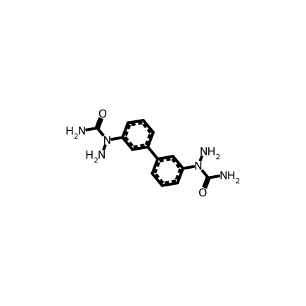 NC(=O)N(N)c1cccc(-c2cccc(N(N)C(N)=O)c2)c1